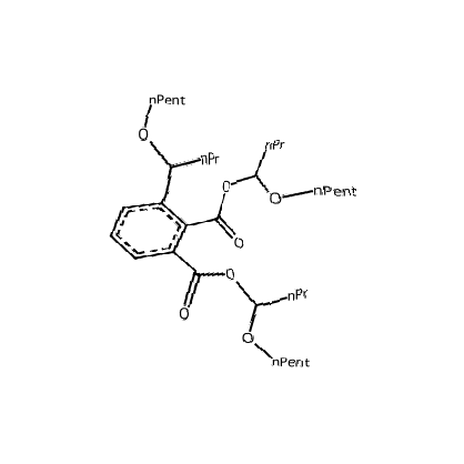 CCCCCOC(CCC)OC(=O)c1cccc(C(CCC)OCCCCC)c1C(=O)OC(CCC)OCCCCC